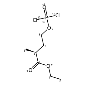 CCOC(=O)[C@@H](C)CCOP(=O)(Cl)Cl